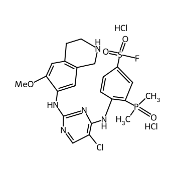 COc1cc2c(cc1Nc1ncc(Cl)c(Nc3ccc(S(=O)(=O)F)cc3P(C)(C)=O)n1)CNCC2.Cl.Cl